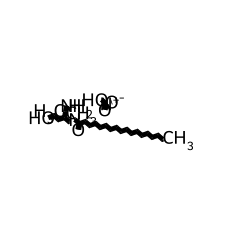 CCCCCCCCCCCCCCCCCC(=O)NCC(CCO)C(C)(C)N.O=[N+]([O-])O